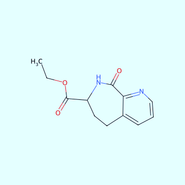 CCOC(=O)C1CCc2cccnc2C(=O)N1